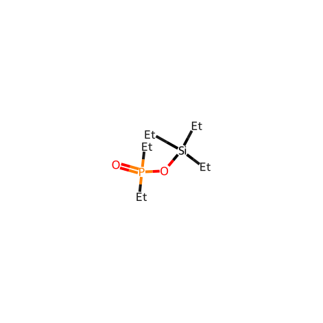 CC[Si](CC)(CC)OP(=O)(CC)CC